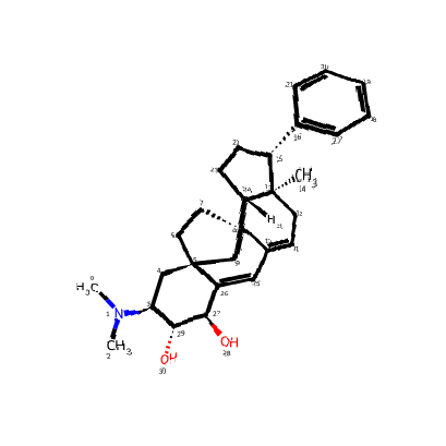 CN(C)[C@H]1C[C@@]23CC[C@@]4(C2)C(=CC[C@]2(C)[C@@H](c5ccccc5)CC[C@@H]42)C=C3[C@@H](O)[C@@H]1O